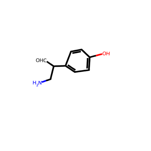 NCC(C=O)c1ccc(O)cc1